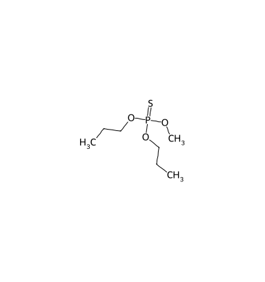 CCCOP(=S)(OC)OCCC